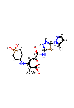 COc1c(NC2CCS(=O)(=O)CC2)cc(C(=O)Nc2nnc(-n3nccc3C)s2)oc1=O